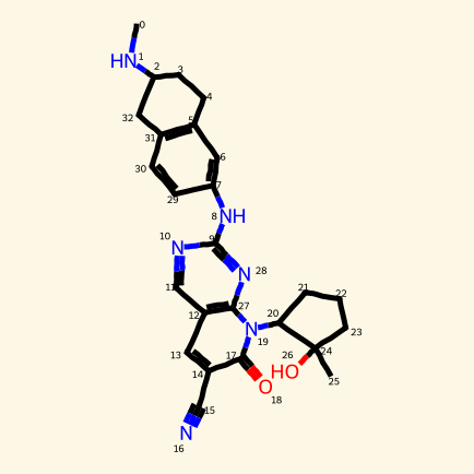 CNC1CCc2cc(Nc3ncc4cc(C#N)c(=O)n(C5CCCC5(C)O)c4n3)ccc2C1